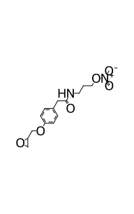 O=C(Cc1ccc(OCC2CO2)cc1)NCCCO[N+](=O)[O-]